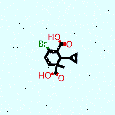 CC1(C(=O)O)C=CC(Br)=C(C(=O)O)C1C1CC1